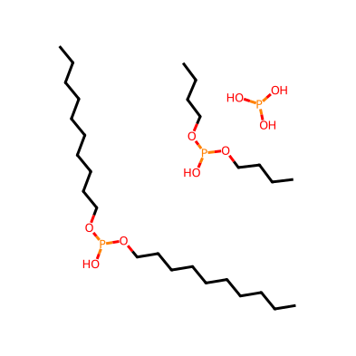 CCCCCCCCCCOP(O)OCCCCCCCCCC.CCCCOP(O)OCCCC.OP(O)O